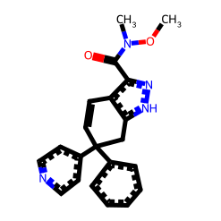 CON(C)C(=O)c1n[nH]c2c1C=CC(c1ccccc1)(c1ccncc1)C2